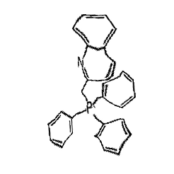 c1ccc([P](Cc2ccc3ccccc3n2)(c2ccccc2)c2ccccc2)cc1